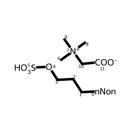 CCCCCCCCCCCCOS(=O)(=O)O.C[N+](C)(C)CC(=O)[O-]